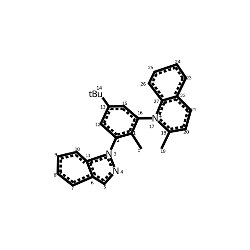 Cc1c(-n2ncc3ccccc32)cc(C(C)(C)C)cc1-[n+]1c(C)ccc2ccccc21